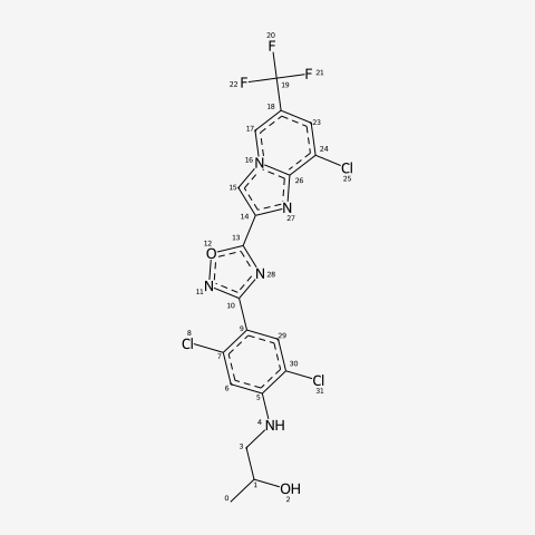 CC(O)CNc1cc(Cl)c(-c2noc(-c3cn4cc(C(F)(F)F)cc(Cl)c4n3)n2)cc1Cl